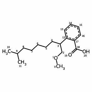 COCC(CCCCCC(C)C)c1ccccc1C(=O)O